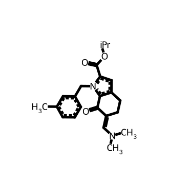 Cc1cccc(Cn2c(C(=O)OC(C)C)cc3c2C(=O)C(=CN(C)C)CC3)c1